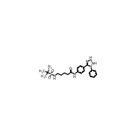 CC(C)(C)S(=O)(=O)NCCCCC(=O)Nc1ccc(C2=NNNN2c2ccccc2)cc1